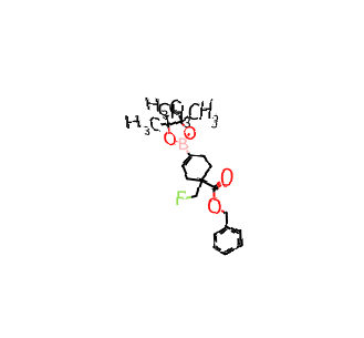 CC1(C)OB(C2=CCC(CF)(C(=O)OCc3ccccc3)CC2)OC1(C)C